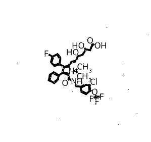 CC(C)n1c(C=CC(O)CC(O)CC(=O)O)c(-c2ccc(F)cc2)c(-c2ccccc2)c1C(=O)NCc1ccc(OC(F)(F)F)c(Cl)c1